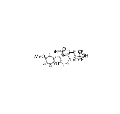 COc1ccc(OC2CCc3cc(C(O)(C(F)(F)F)C(F)(F)F)ccc3N(C(=O)C(C)C)C2)cc1